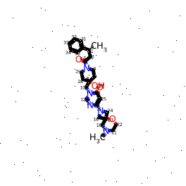 C[C@H](CC(=O)N1CCC(O)(Cn2cnc(N3CC4(CN(C)CCO4)C3)cc2=O)CC1)c1ccccc1